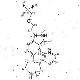 CC1=C2C(=CN=C(N3CCCNCC3)N2c2ccccn2)N(CCOCC(F)(F)F)N1